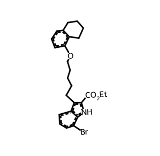 CCOC(=O)c1[nH]c2c(Br)cccc2c1CCCCCOc1cccc2c1CCCC2